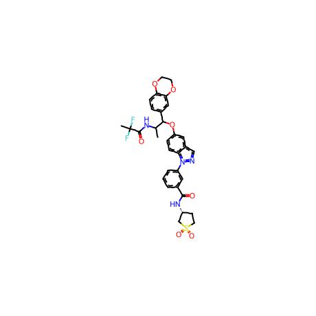 CC(NC(=O)C(C)(F)F)C(Oc1ccc2c(cnn2-c2cccc(C(=O)N[C@@H]3CCS(=O)(=O)C3)c2)c1)c1ccc2c(c1)OCCO2